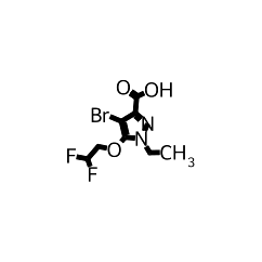 CCn1nc(C(=O)O)c(Br)c1OCC(F)F